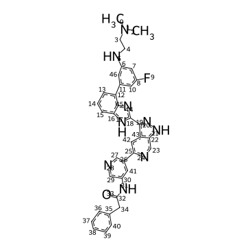 CN(C)CCNc1cc(F)cc(-c2cccc3[nH]c(-c4n[nH]c5cnc(-c6cncc(NC(=O)Cc7ccccc7)c6)cc45)nc23)c1